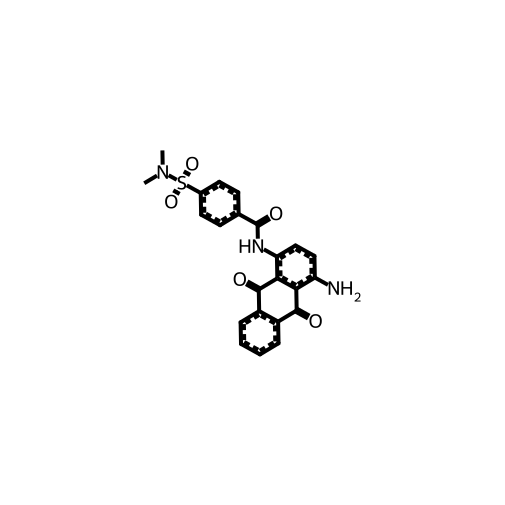 CN(C)S(=O)(=O)c1ccc(C(=O)Nc2ccc(N)c3c2C(=O)c2ccccc2C3=O)cc1